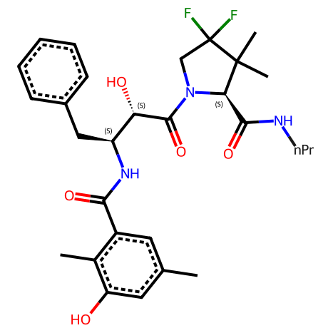 CCCNC(=O)[C@H]1N(C(=O)[C@@H](O)[C@H](Cc2ccccc2)NC(=O)c2cc(C)cc(O)c2C)CC(F)(F)C1(C)C